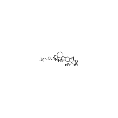 CCCC1(CCC)C(=O)N(C)c2cc3c4c([nH]c3cc21)-c1nn(COCC[Si](C)(C)C)cc1CCC4